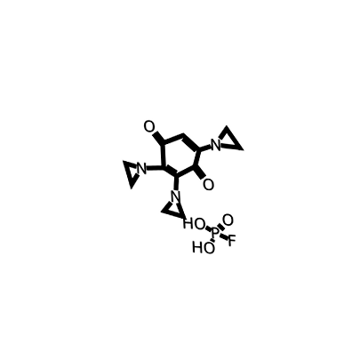 O=C1C=C(N2CC2)C(=O)C(N2CC2)=C1N1CC1.O=P(O)(O)F